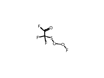 O=C(F)C(F)(F)SOOF